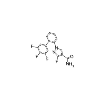 NC(=O)c1cn(-c2ccccc2-c2cc(F)c(F)c(F)c2)nc1F